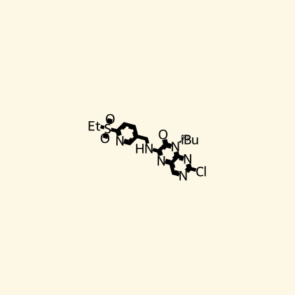 CC[C@@H](C)n1c(=O)c(NCc2ccc(S(=O)(=O)CC)nc2)nc2cnc(Cl)nc21